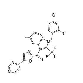 Cc1ccc2c(c1)c(C(=O)c1ncc(-c3ccncn3)o1)c(C(F)(F)F)n2Cc1ccc(Cl)cc1Cl